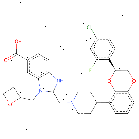 O=C(O)c1ccc2c(c1)N(CC1CCO1)C(CN1CCC(c3cccc4c3O[C@@H](c3ccc(Cl)cc3F)CO4)CC1)N2